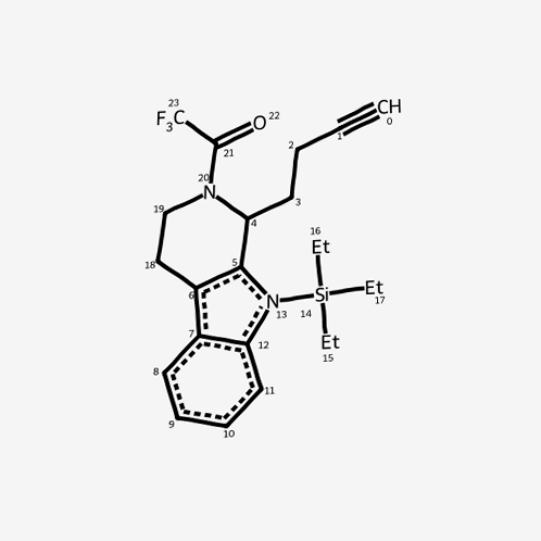 C#CCCC1c2c(c3ccccc3n2[Si](CC)(CC)CC)CCN1C(=O)C(F)(F)F